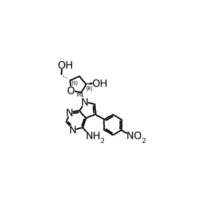 Nc1ncnc2c1c(-c1ccc([N+](=O)[O-])cc1)cn2[C@@H]1O[C@H](CO)C[C@H]1O